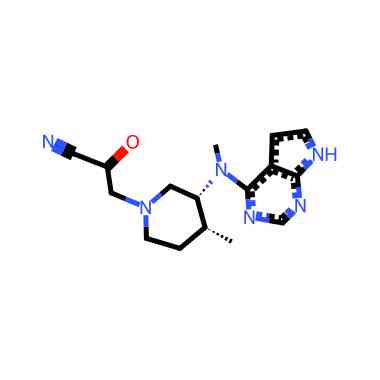 C[C@@H]1CCN(CC(=O)C#N)C[C@@H]1N(C)c1ncnc2[nH]ccc12